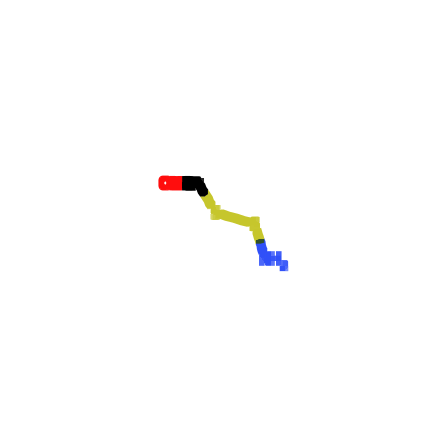 NSS[C]=O